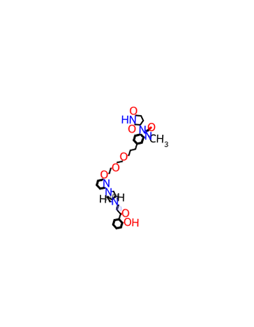 Cn1c(=O)n(C2CCC(=O)NC2=O)c2ccc(CCCOCCOCCOc3cccc(N4C[C@H]5C[C@@H]4CN5/C=C/C(=O)c4ccccc4O)n3)cc21